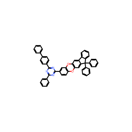 c1ccc(-c2ccc(-c3nc(-c4ccccc4)nc(-c4ccc5c(c4)Oc4cc6c(cc4O5)C(c4ccccc4)(c4ccccc4)c4ccccc4-6)n3)cc2)cc1